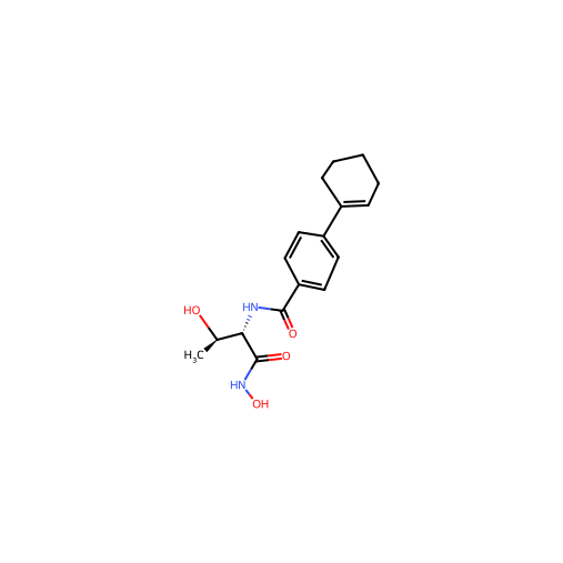 C[C@@H](O)[C@H](NC(=O)c1ccc(C2=CCCCC2)cc1)C(=O)NO